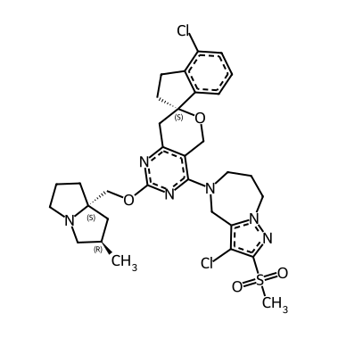 C[C@H]1CN2CCC[C@@]2(COc2nc3c(c(N4CCCn5nc(S(C)(=O)=O)c(Cl)c5C4)n2)CO[C@@]2(CCc4c(Cl)cccc42)C3)C1